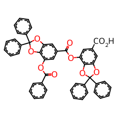 O=C(O)c1cc(OC(=O)c2cc(OC(=O)c3ccccc3)c3c(c2)OC(c2ccccc2)(c2ccccc2)O3)c2c(c1)OC(c1ccccc1)(c1ccccc1)O2